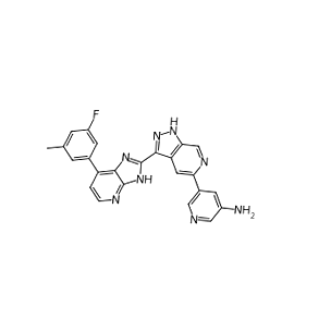 Cc1cc(F)cc(-c2ccnc3[nH]c(-c4n[nH]c5cnc(-c6cncc(N)c6)cc45)nc23)c1